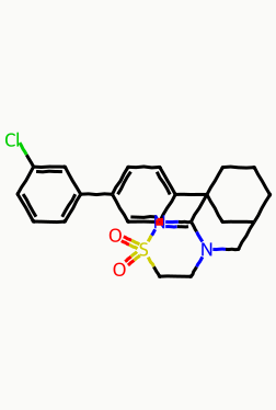 O=S1(=O)CCN2CC3CCCC(c4ccc(-c5cccc(Cl)c5)cc4)(C3)C2=N1